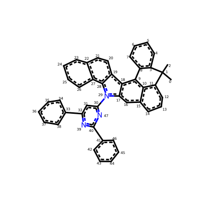 CC1(C)c2ccccc2-c2c3c1cccc3cc1c2c2ccc3ccccc3c2n1-c1cc(-c2ccccc2)nc(-c2ccccc2)n1